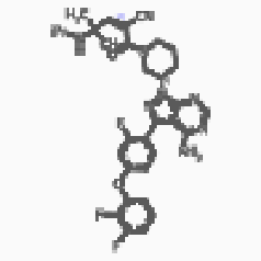 CC(C)NC(C)(C)/C=C(/C#N)C(=O)N1CCC[C@H](n2nc(-c3ccc(Oc4cccc(F)c4F)cc3F)c3c(N)ncnc32)C1